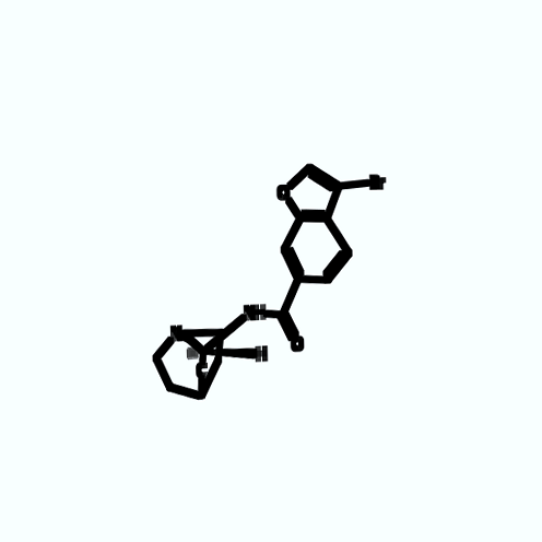 O=C(N[C@@H]1CC2CCN(CC2)C1)c1ccc2c(Br)coc2c1